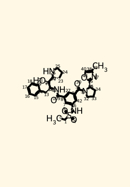 CCS(=O)(=O)Nc1cc(C(=O)N[C@@H](Cc2ccccc2)[C@H](O)[C@H]2CCCN2)cc(C(=O)N2CCC[C@@H]2c2nc(C)co2)c1